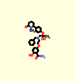 CN1C(=O)CCC=C1c1ccc(OC(C)(O)CN(CCOc2ccc(O)c(C(N)=O)c2)Cc2ccccc2)cc1